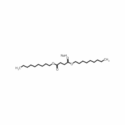 CCCCCCCCCOC(=O)CCC(=O)OCCCCCCCCC.[NaH]